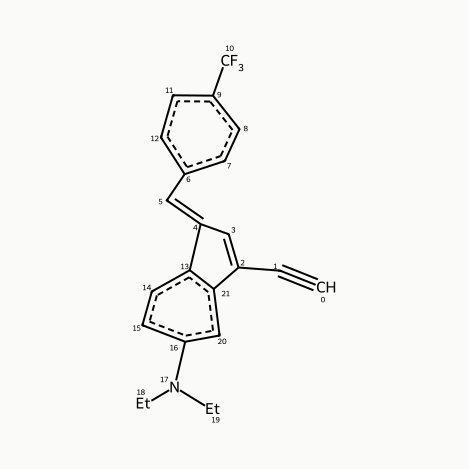 C#CC1=CC(=Cc2ccc(C(F)(F)F)cc2)c2ccc(N(CC)CC)cc21